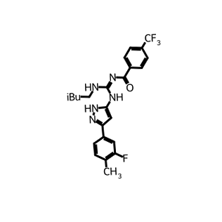 CCC(C)CN/C(=N/C(=O)c1ccc(C(F)(F)F)cc1)Nc1cc(-c2ccc(C)c(F)c2)n[nH]1